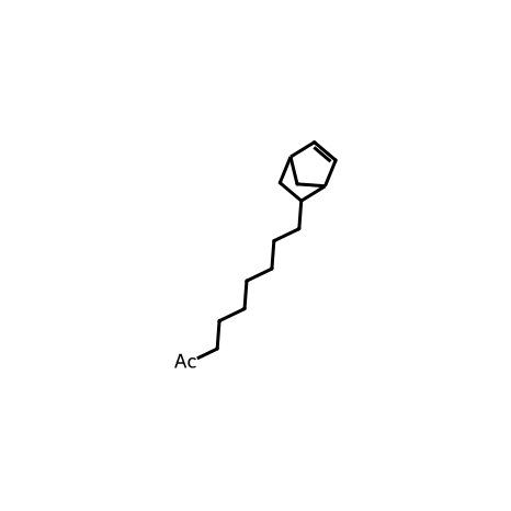 CC(=O)CCCCCCCC1CC2C=CC1C2